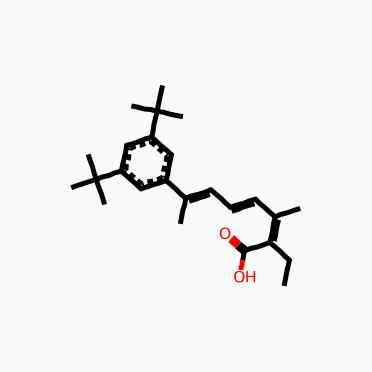 CCC(C(=O)O)=C(C)C=CC=C(C)c1cc(C(C)(C)C)cc(C(C)(C)C)c1